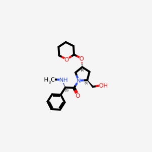 CN[C@H](C(=O)N1C[C@H](OC2CCCCO2)C[C@H]1CO)c1ccccc1